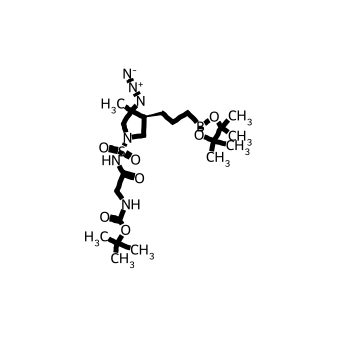 CC(C)(C)OC(=O)NCC(=O)NS(=O)(=O)N1C[C@H](CCCB2OC(C)(C)C(C)(C)O2)C(C)(N=[N+]=[N-])C1